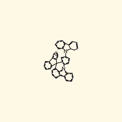 C1=CCC2C(=C1)c1ccccc1N2c1ccc2c(c1)C1(c3ccccc3-c3ccccc31)c1cccc3c4ccccc4n-2c13